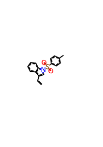 C=Cc1cn(S(=O)(=O)c2ccc(C)cc2)c2ccccc12